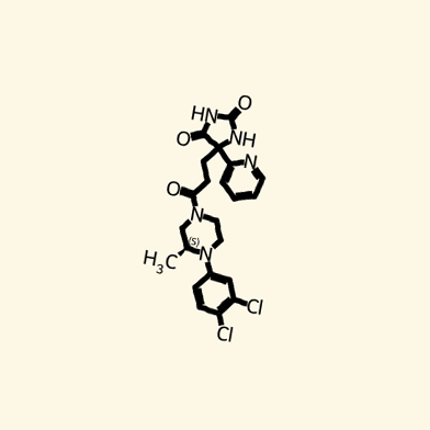 C[C@H]1CN(C(=O)CCC2(c3ccccn3)NC(=O)NC2=O)CCN1c1ccc(Cl)c(Cl)c1